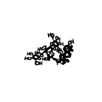 CC[C@@]12CC[C@H]([C@H](C)CC[C@@H](O[C@@H]3O[C@H](CO[C@@H]4O[C@H](CO)[C@@H](O)[C@H](O)[C@H]4O)[C@@H](O)[C@H](O)[C@H]3O[C@@H]3O[C@H](CO)[C@@H](O)[C@H](O)[C@H]3O)C(C)(C)O)[C@@]1(C)C[C@@H](O)[C@@]1(C)[C@@H]3CC[C@H](O)C(C)(C)C3=CC[C@H]12